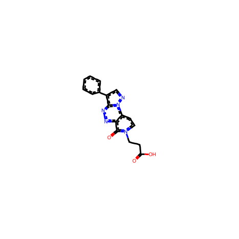 O=C(O)CCn1ccc2c(nnc3c(-c4ccccc4)cnn32)c1=O